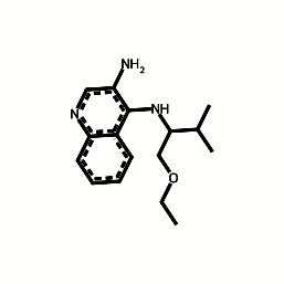 CCOCC(Nc1c(N)cnc2ccccc12)C(C)C